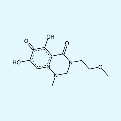 COCCN1CN(C)n2cc(O)c(=O)c(O)c2C1=O